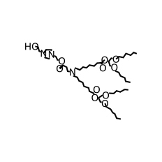 CCCCCCOCC(COCCCCCC)OC(=O)CCCCCCCN(CCCCCCCC(=O)OC(COCCCCCC)COCCCCCC)CCC(=O)OCCN1CCN(CCO)CC1